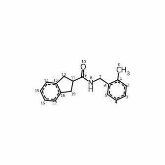 Cc1ccccc1CNC(=O)C1Cc2ccccc2C1